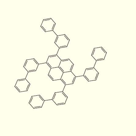 c1ccc(-c2cccc(-c3cc(-c4cccc(-c5ccccc5)c4)c4ccc5c(-c6cccc(-c7ccccc7)c6)cc(-c6cccc(-c7ccccc7)c6)c6ccc3c4c65)c2)cc1